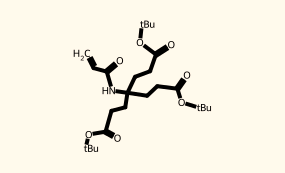 C=CC(=O)NC(CCC(=O)OC(C)(C)C)(CCC(=O)OC(C)(C)C)CCC(=O)OC(C)(C)C